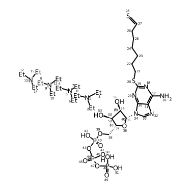 CCN(CC)CC.CCN(CC)CC.CCN(CC)CC.CCN(CC)CC.Nc1nc(SCCCCCCC=S)nc2c1ncn2[C@@H]1O[C@H](COP(=O)(O)OP(=O)(O)OP(=O)(O)O)[C@@H](O)[C@H]1O